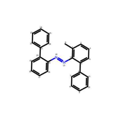 Cc1cccc(-c2ccccc2)c1N=Nc1ccccc1-c1ccccc1